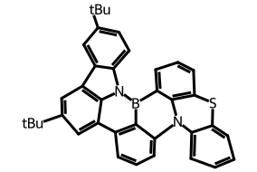 CC(C)(C)c1ccc2c(c1)c1cc(C(C)(C)C)cc3c1n2B1c2cccc4c2N(c2ccccc2S4)c2cccc-3c21